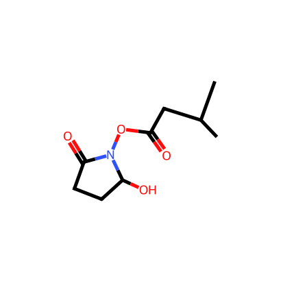 CC(C)CC(=O)ON1C(=O)CCC1O